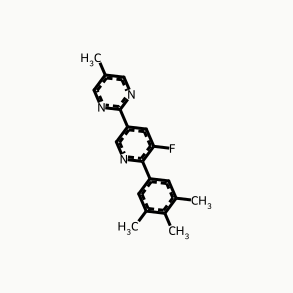 Cc1cnc(-c2cnc(-c3cc(C)c(C)c(C)c3)c(F)c2)nc1